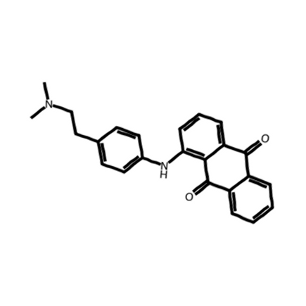 CN(C)CCc1ccc(Nc2cccc3c2C(=O)c2ccccc2C3=O)cc1